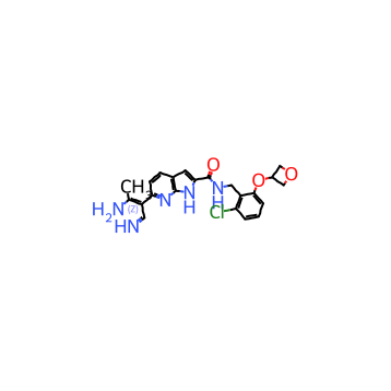 C/C(N)=C(/C=N)c1ccc2cc(C(=O)NCc3c(Cl)cccc3OC3COC3)[nH]c2n1